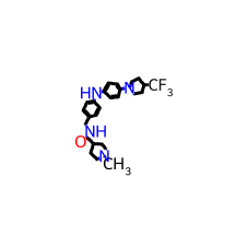 CN1CCC(C(=O)NCc2ccc(Nc3ccc(N4CCC(C(F)(F)F)CC4)cc3)cc2)CC1